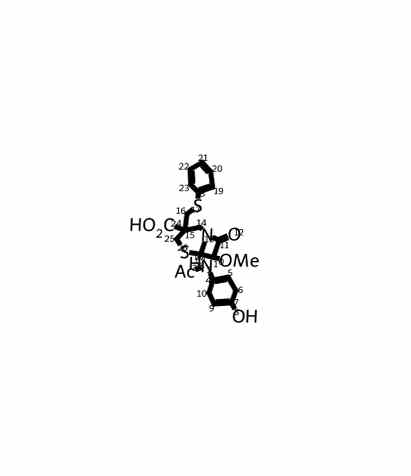 COC1(N(C(C)=O)C2=CCC(O)=CC2)C(=O)N2CC(CSc3ccccc3)(C(=O)O)CS[C@@H]21